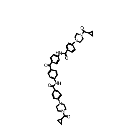 O=C(Nc1ccc(C(=O)c2ccc(NC(=O)c3ccc(N4CCN(C(=O)C5CC5)CC4)cc3)cc2)cc1)c1ccc(N2CCN(C(=O)C3CC3)CC2)cc1